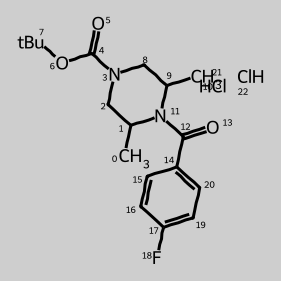 CC1CN(C(=O)OC(C)(C)C)CC(C)N1C(=O)c1ccc(F)cc1.Cl.Cl